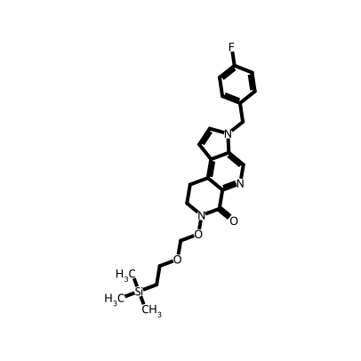 C[Si](C)(C)CCOCON1CCc2c(ncc3c2ccn3Cc2ccc(F)cc2)C1=O